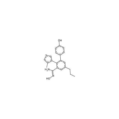 CCCc1cc(/C(N)=N/O)c(-c2cscc2C)c(-c2ccc(O)cc2)c1